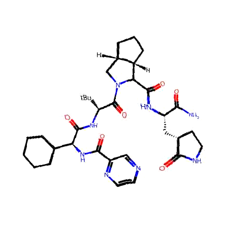 CC(C)(C)[C@H](NC(=O)[C@@H](NC(=O)c1cnccn1)C1CCCCC1)C(=O)N1C[C@@H]2CCC[C@@H]2C1C(=O)N[C@@H](C[C@@H]1CCNC1=O)C(N)=O